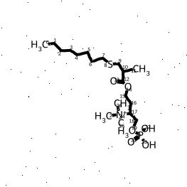 CCCCCCCCSCC(C)C(=O)OCCC(COP(=O)(O)O)[N+](C)(C)C